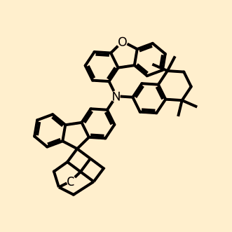 CC1(C)CCC(C)(C)c2cc(N(c3ccc4c(c3)-c3ccccc3C43C4CC5CC6CC3C64C5)c3cccc4oc5ccccc5c34)ccc21